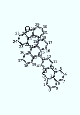 c1cc2c3c(cccc3c1)-c1ccc(-c3c4ccccc4c(-c4cccc5oc6ccccc6c45)c4ccccc34)cc1S2